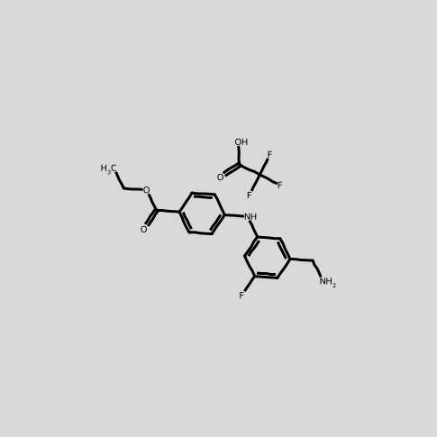 CCOC(=O)c1ccc(Nc2cc(F)cc(CN)c2)cc1.O=C(O)C(F)(F)F